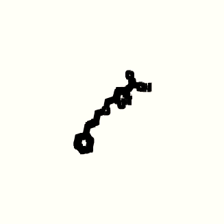 O=C(O)c1cc(COCC=Cc2ccccc2)on1